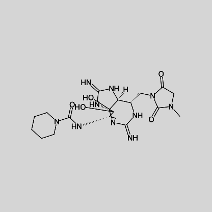 CN1CC(=O)N(C[C@@H]2NC(=N)N3C[C@H](NC(=O)N4CCCCC4)C(O)(O)[C@@]34NC(=N)N[C@@H]24)C1=O